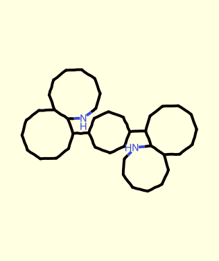 C1CCCNC2C(CCC1)CCCCCCCC2C1CCCC(C2CCCCCCCC3CCCCCCNC32)CCC1